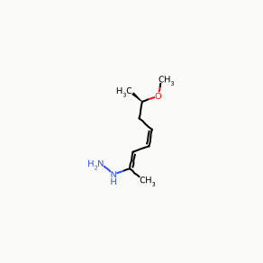 CO[C@H](C)C/C=C\C=C(/C)NN